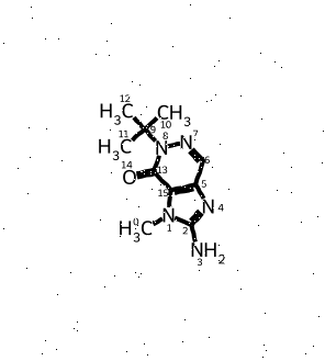 Cn1c(N)nc2cnn(C(C)(C)C)c(=O)c21